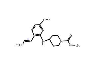 CCOC(=O)/C=C/c1ncc(OC)nc1NC1CCN(C(=O)OC(C)(C)C)CC1